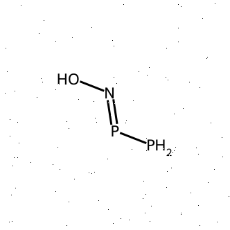 O/N=P/P